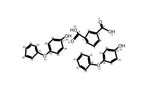 O=C(O)c1cccc(C(=O)O)c1.Oc1ccc(Oc2ccccc2)cc1.Oc1ccc(Oc2ccccc2)cc1